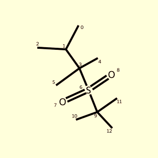 CC(C)C(C)(C)S(=O)(=O)C(C)(C)C